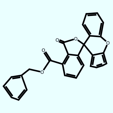 O=C(OCc1ccccc1)c1cccc2c1C(=O)OC21c2ccccc2Oc2ccccc21